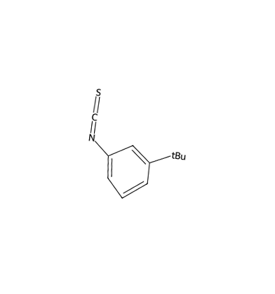 CC(C)(C)c1cccc(N=C=S)c1